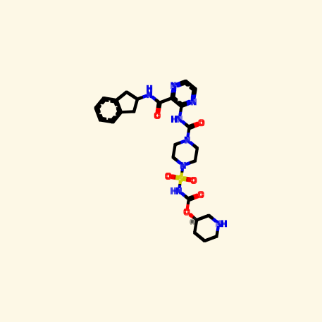 O=C(NS(=O)(=O)N1CCN(C(=O)Nc2nccnc2C(=O)NC2Cc3ccccc3C2)CC1)O[C@@H]1CCCNC1